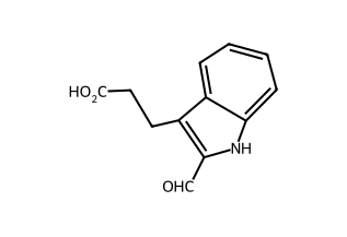 O=Cc1[nH]c2ccccc2c1CCC(=O)O